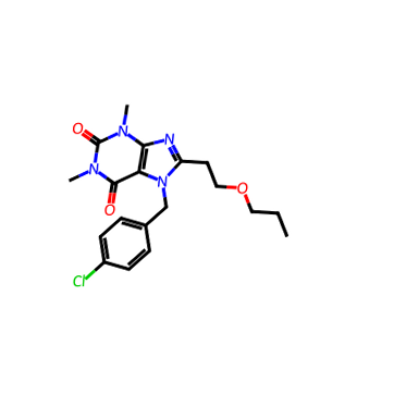 CCCOCCc1nc2c(c(=O)n(C)c(=O)n2C)n1Cc1ccc(Cl)cc1